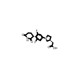 O=C(O)C[C@@H]1CCN(c2cc(F)c([C@H]3CCC(=O)NC3=O)c(F)c2)C1